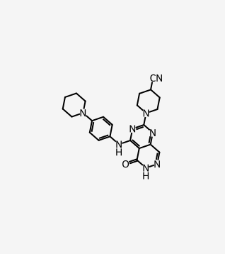 N#CC1CCN(c2nc(Nc3ccc(N4CCCCC4)cc3)c3c(=O)[nH]ncc3n2)CC1